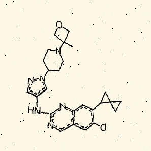 CC1(N2CCC(n3cc(Nc4ncc5cc(Cl)c(C6CC67CC7)cc5n4)cn3)CC2)COC1